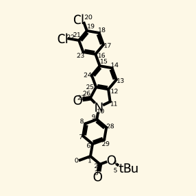 CC(C(=O)OC(C)(C)C)c1ccc(N2Cc3ccc(-c4ccc(Cl)c(Cl)c4)cc3C2=O)cc1